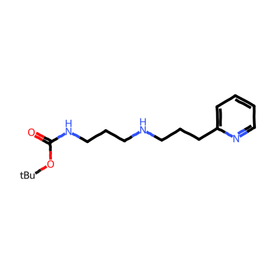 CC(C)(C)OC(=O)NCCCNCCCc1ccccn1